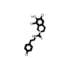 Oc1c(Cl)cc2c(c1Cl)CN(C(=S)NCCc1ccc(Cl)cc1)CC2